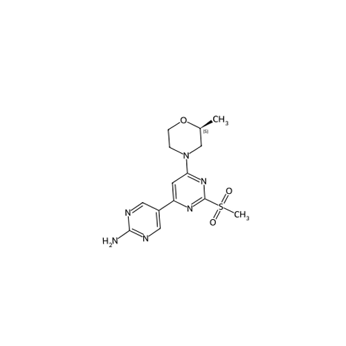 C[C@H]1CN(c2cc(-c3cnc(N)nc3)nc(S(C)(=O)=O)n2)CCO1